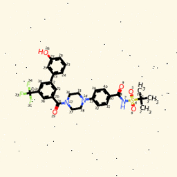 CC(C)(C)S(=O)(=O)NC(=O)c1ccc(N2CCN(C(=O)c3cc(-c4cccc(O)c4)cc(C(F)(F)F)c3)CC2)cc1